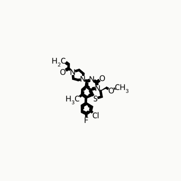 C=CC(=O)N1CCN(c2nc(=O)n3c4c(c(-c5ccc(F)c(Cl)c5)c(C)cc24)SC[C@@H]3COC)CC1